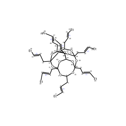 CC/C=C/CC1OC2(C/C=C/CC)OC3(C/C=C/CC)OC(C/C=C/CC)OC4(C/C=C/CC)OC(C/C=C/CC)(O1)OC(C/C=C/CC)(O2)OC(C/C=C/CCC)(O3)O4